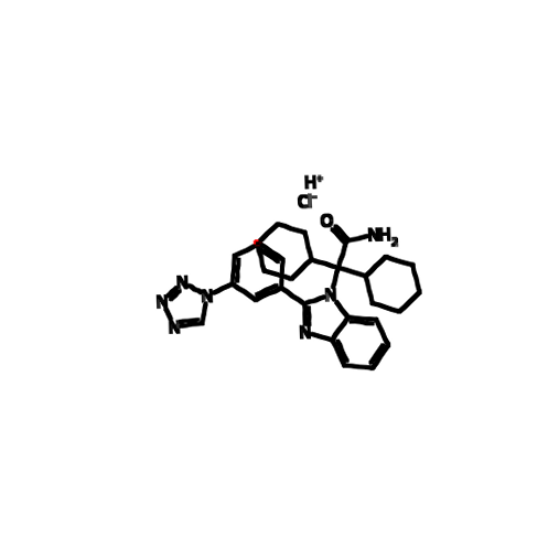 NC(=O)C(C1CCCCC1)(C1CCCCC1)n1c(-c2cccc(-n3cnnn3)c2)nc2ccccc21.[Cl-].[H+]